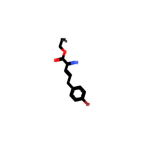 CCOC(=O)C(=N)/C=C/Cc1ccc(Br)cc1